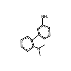 CN(C)c1ccccc1-c1cccc(N)c1